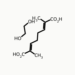 CC(=CCCC=C(C)C(=O)O)C(=O)O.OCCO